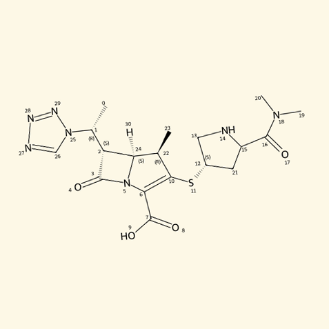 C[C@H]([C@H]1C(=O)N2C(C(=O)O)=C(S[C@@H]3CNC(C(=O)N(C)C)C3)[C@H](C)[C@H]12)n1cnnn1